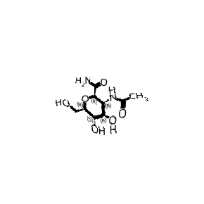 CC(=O)N[C@@H]1[C@@H](O)[C@H](O)[C@@H](CO)O[C@H]1C(N)=O